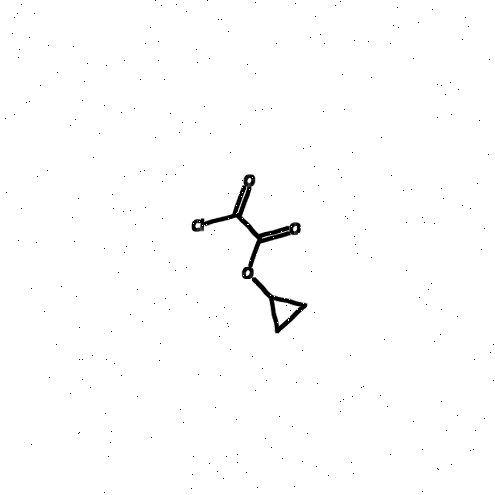 O=C(Cl)C(=O)OC1CC1